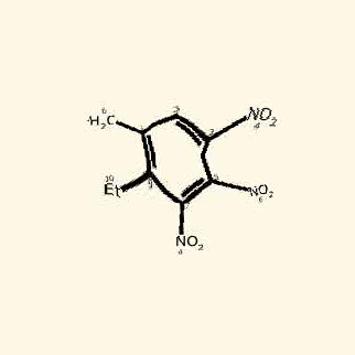 [CH2]c1cc([N+](=O)[O-])c([N+](=O)[O-])c([N+](=O)[O-])c1CC